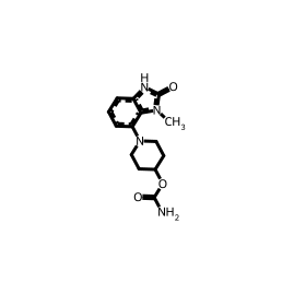 Cn1c(=O)[nH]c2cccc(N3CCC(OC(N)=O)CC3)c21